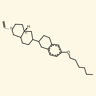 C=C[C@@H]1CC[C@@H]2CC(C3CCc4cc(OCCCCCC)ccc4C3)CCC2C1